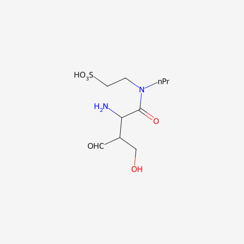 CCCN(CCS(=O)(=O)O)C(=O)C(N)C(C=O)CO